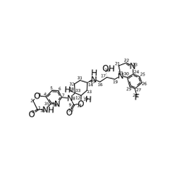 O=C1COc2ccc(N3C(=O)O[C@@H]4C[C@H](NC[C@H](O)CN5CC=Nc6ccc(F)cc65)CC[C@H]43)nc2N1